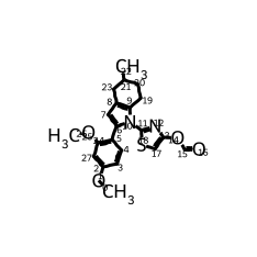 COc1ccc(-c2cc3c(n2-c2nc(OC=O)cs2)CCC(C)C3)c(OC)c1